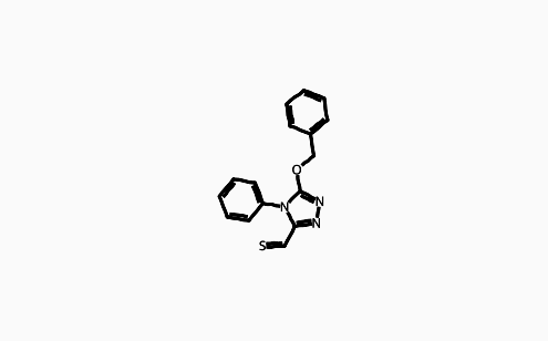 S=Cc1nnc(OCc2ccccc2)n1-c1ccccc1